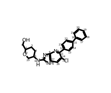 OCC1CCC(Nc2nc3nc(-c4ccc(-c5ccccc5)cc4)c(Cl)cc3[nH]2)CO1